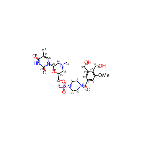 COc1cc(C(=O)N2CCN(P(C)(=O)OC[C@@H]3CN(C)CC(n4cc(C)c(=O)[nH]c4=O)O3)CC2)cc(CO)c1CO